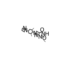 CCOc1nc2nn(-c3c(C)cc(-n4cccn4)cc3C)cc2c(=O)[nH]1